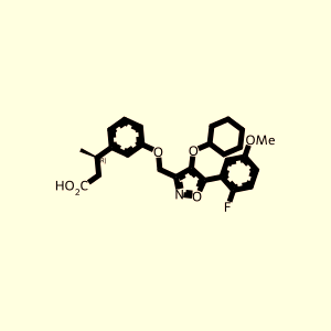 COc1ccc(F)c(-c2onc(COc3cccc([C@H](C)CC(=O)O)c3)c2OC2CCCCC2)c1